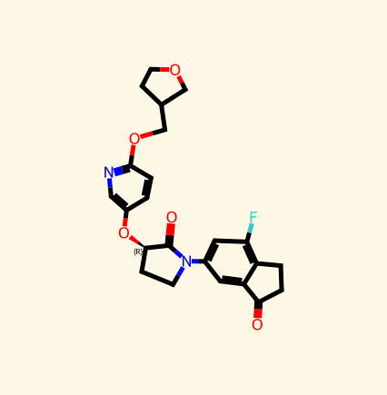 O=C1CCc2c(F)cc(N3CC[C@@H](Oc4ccc(OCC5CCOC5)nc4)C3=O)cc21